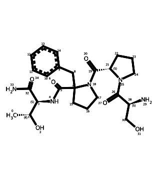 C[C@@H](O)[C@H](NC(=O)C1(Cc2ccccc2)CCCN1C(=O)[C@@H]1CCCN1C(=O)[C@@H](N)CO)C(N)=O